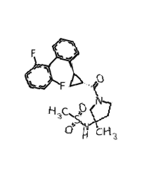 C[C@]1(NS(C)(=O)=O)CCN(C(=O)[C@@H]2C[C@H]2c2ccccc2-c2c(F)cccc2F)C1